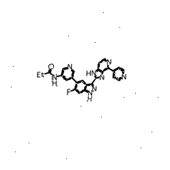 CCC(=O)Nc1cncc(-c2cc3c(-c4nc5c(-c6ccncc6)nccc5[nH]4)n[nH]c3cc2F)c1